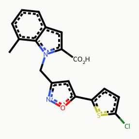 Cc1cccc2cc(C(=O)O)n(Cc3cc(-c4ccc(Cl)s4)on3)c12